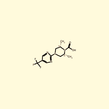 C[C@@H]1CN(c2ncc(C(F)(F)F)cn2)C[C@H](C)N1C(=O)O